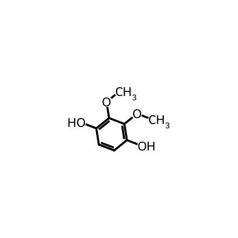 COc1c(O)ccc(O)c1OC